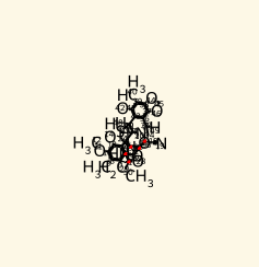 C=CCN1C2c3c(cc(C)c(OC)c3O)CC1[C@H](C#N)N1[C@H]2[C@@H]2SCC(NC(=O)CC)C(=O)OC[C@H]1c1c3c(c(C)c(O)c12)OCO3